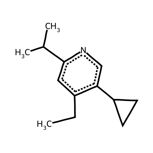 CCc1cc(C(C)C)ncc1C1CC1